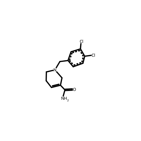 NC(=O)C1=CCCN(Cc2ccc(Cl)c(Cl)c2)C1